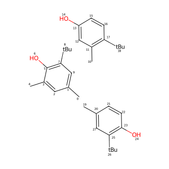 Cc1cc(C)c(O)c(C(C)(C)C)c1.Cc1cc(O)ccc1C(C)(C)C.Cc1ccc(O)c(C(C)(C)C)c1